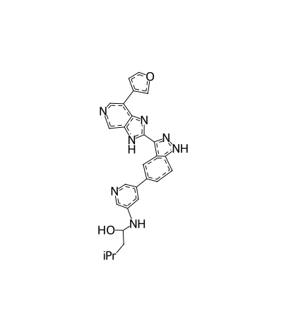 CC(C)CC(O)Nc1cncc(-c2ccc3[nH]nc(-c4nc5c(-c6ccoc6)cncc5[nH]4)c3c2)c1